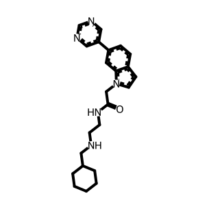 O=C(Cn1ccc2ccc(-c3cncnc3)cc21)NCCNCC1CCCCC1